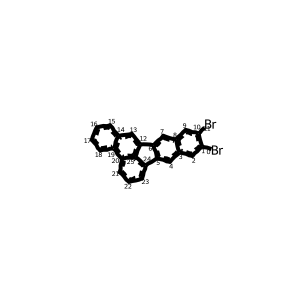 Brc1cc2cc3c(cc2cc1Br)-c1cc2ccccc2c2cccc-3c12